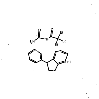 CCC(Br)(CC)C(=O)NC(N)=O.Cl.c1ccc(C2CCc3ccccc32)cc1